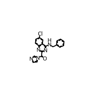 O=C(c1nc(NCc2ccccc2)c2cc(Cl)ccc2n1)n1ccnc1